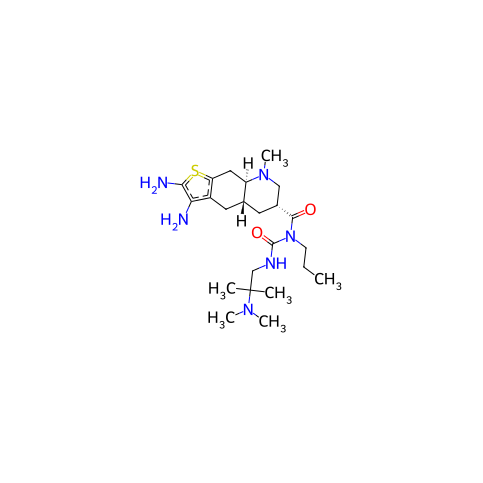 CCCN(C(=O)NCC(C)(C)N(C)C)C(=O)[C@@H]1C[C@@H]2Cc3c(sc(N)c3N)C[C@H]2N(C)C1